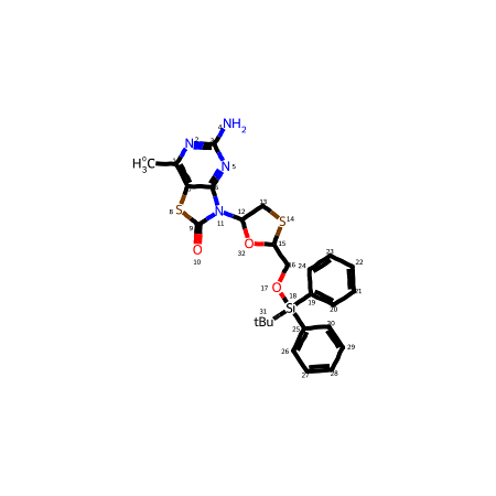 Cc1nc(N)nc2c1sc(=O)n2C1CSC(CO[Si](c2ccccc2)(c2ccccc2)C(C)(C)C)O1